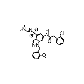 COc1ccccc1CN1N=CC2C(S(=O)(=O)/N=C/N(C)C)=CC(NC(=O)Cc3ccccc3Cl)=CC21